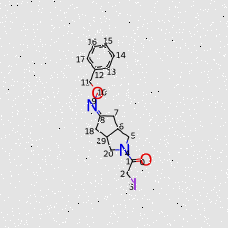 O=C(CI)N1CC2CC(=NOCc3ccccc3)CC2C1